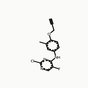 C#CCOc1ccc(Nc2nc(Cl)ncc2F)cc1C